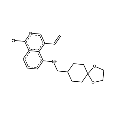 C=Cc1cnc(Cl)c2cccc(NCC3CCC4(CC3)OCCO4)c12